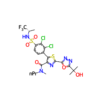 CCCN(C)C(=O)c1nc(-c2nnc(C(C)(C)O)o2)sc1-c1ccc(S(=O)(=O)N[C@@H](C)C(F)(F)F)c(Cl)c1Cl